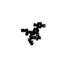 CCOC(=O)[C@@H](C[C@@H](Cc1ccc(-c2cc(Cl)ccc2F)cc1Cl)NC(=O)OC(C)(C)C)N=[N+]=[N-]